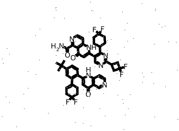 CC(C)(C)c1ccc(-c2cc(=O)c3cnccc3[nH]2)c(C2=CCC(F)(F)CC2)c1.NC(=O)c1nccc2[nH]c(-c3cnc(C4CC(F)(F)C4)nc3C3CCC(F)(F)CC3)cc(=O)c12